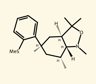 CSc1ccccc1[C@]1(C)C[C@@H](C)[C@@H]2[C@@H](C1)C(C)(C)ON2C